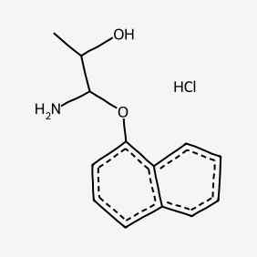 CC(O)C(N)Oc1cccc2ccccc12.Cl